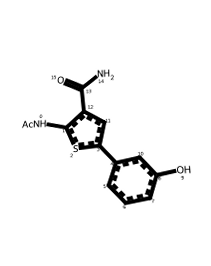 CC(=O)Nc1sc(-c2cccc(O)c2)cc1C(N)=O